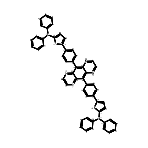 c1ccc(N(c2ccccc2)c2ccc(-c3ccc(-c4c5nccnc5c(-c5ccc(-c6ccc(N(c7ccccc7)c7ccccc7)s6)cc5)c5nccnc45)cc3)s2)cc1